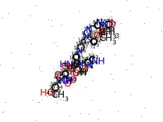 COc1cc(CN2CCN(C3CC4(CCN(c5ccc(C(=O)NS(=O)(=O)c6cc7c(c([N+](=O)[O-])c6)N[C@@H](C6CCC(C)(O)CC6)CO7)c(N6c7cc8cc[nH]c8nc7O[C@H]7COCC[C@@H]76)c5)CC4)C3)[C@@H](c3ccccc3OC(C)C)C2)cnc1N1CCOCC1